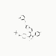 Cn1nc(-c2ccc(F)cc2)c(-c2ccc3nc(NCc4ccnc(F)c4)cn3n2)c1N1CCN(C(=O)OC(C)(C)C)CC1